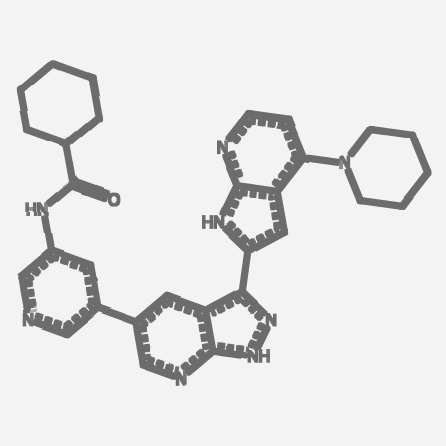 O=C(Nc1cncc(-c2cnc3[nH]nc(-c4cc5c(N6CCCCC6)ccnc5[nH]4)c3c2)c1)C1CCCCC1